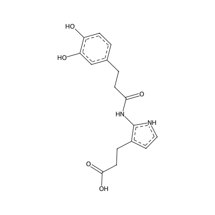 O=C(O)CCc1cc[nH]c1NC(=O)CCc1ccc(O)c(O)c1